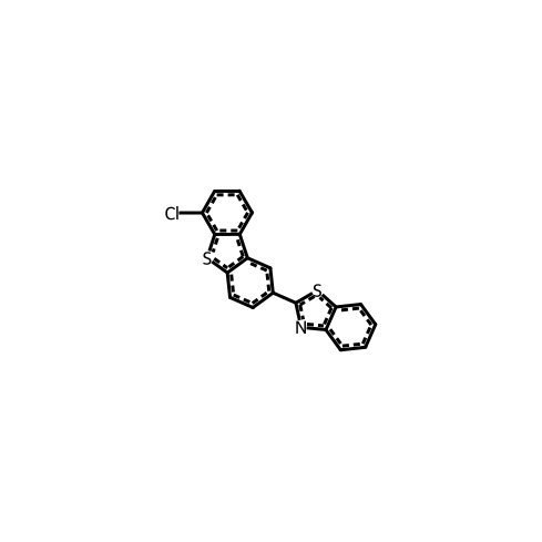 Clc1cccc2c1sc1ccc(-c3nc4ccccc4s3)cc12